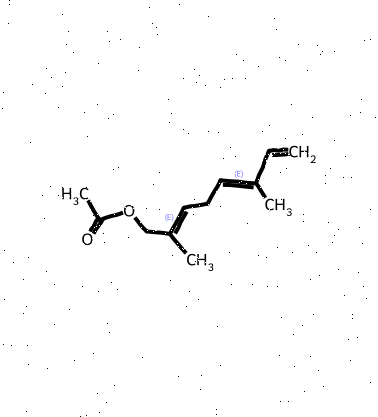 C=C/C(C)=C/C/C=C(\C)COC(C)=O